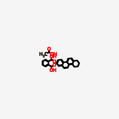 CC(=O)O.O=C(O)c1ccccc1C(=O)O.c1ccc2c(c1)ccc1c3c(ccc12)CCCC3